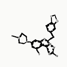 CN1CCN(c2cc(F)c3c(c2)nc(Cc2ccc4c(c2)OCO4)n2nc([N])nc32)CC1